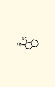 N#CC1C(=N)CCC2CCCCC21